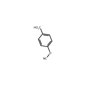 N#COc1ccc(C(=O)O)cc1